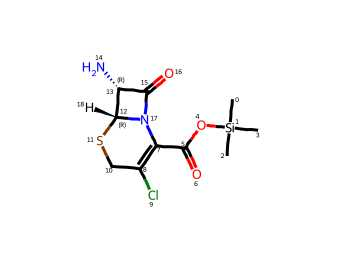 C[Si](C)(C)OC(=O)C1=C(Cl)CS[C@@H]2[C@H](N)C(=O)N12